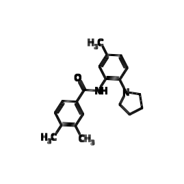 Cc1ccc(N2CCCC2)c(NC(=O)c2ccc(C)c(C)c2)c1